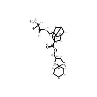 CC(F)(F)C(=O)OCC12CC3CC(C1)CC(C(=O)OCC1COC4(CCCCC4)O1)(C3)C2